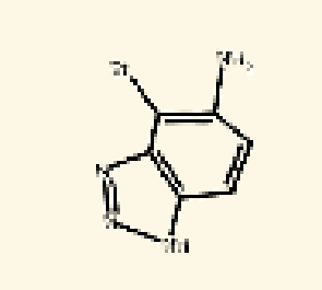 CCc1c(N)ccc2[nH]nnc12